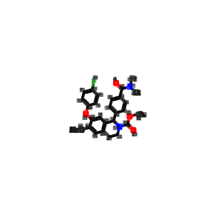 CCN(CC)C(=O)c1ccc(C2c3cc(Oc4ccc(F)cc4)c(OC)cc3CCN2C(=O)OC(C)(C)C)cc1